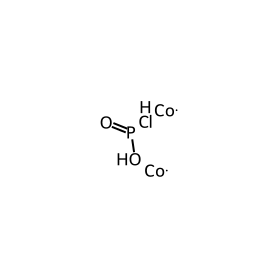 Cl.O=PO.[Co].[Co]